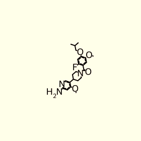 COc1cc(C(=O)N2CCC(c3cnc(N)cc3OC)CC2)c(F)cc1OCC(C)C